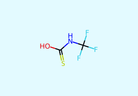 OC(=S)NC(F)(F)F